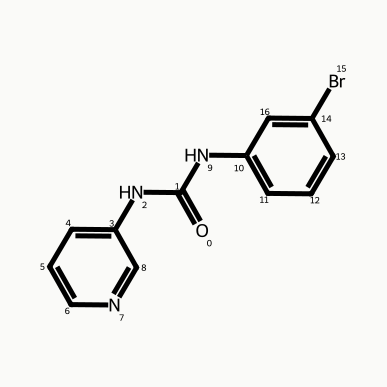 O=C(Nc1cccnc1)Nc1cccc(Br)c1